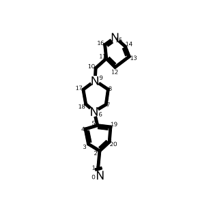 N#Cc1ccc(N2CCN(Cc3cccnc3)CC2)cc1